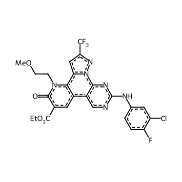 CCOC(=O)c1cc2c3cnc(Nc4ccc(F)c(Cl)c4)nc3n3nc(C(F)(F)F)cc3c2n(CCOC)c1=O